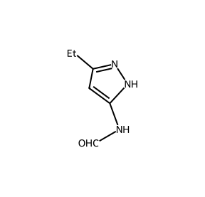 CCc1cc(NC=O)[nH]n1